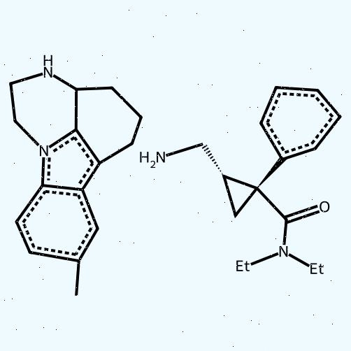 CCN(CC)C(=O)[C@]1(c2ccccc2)C[C@@H]1CN.Cc1ccc2c(c1)c1c3n2CCNC3CCC1